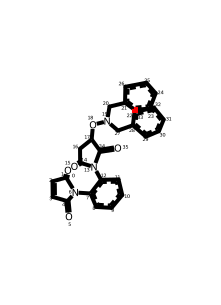 O=C1C=CC(=O)N1c1ccccc1N1C(=O)CC(ON(Cc2ccccc2)Cc2ccccc2)C1=O